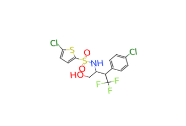 O=S(=O)(NC(CO)C(c1ccc(Cl)cc1)C(F)(F)F)c1ccc(Cl)s1